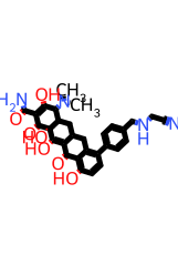 CN(C)C1C(O)=C(C(N)=O)C(=O)C2(O)C(O)=C3C(=O)c4c(O)ccc(-c5ccc(CNCC#N)cc5)c4CC3CC12